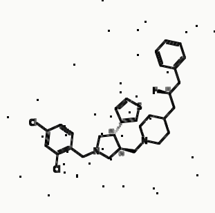 F[C@@H](Cc1ccccc1)CC1CCN(C[C@H]2CN(Cc3ccc(Cl)cc3Cl)C[C@@H]2c2ccsc2)CC1